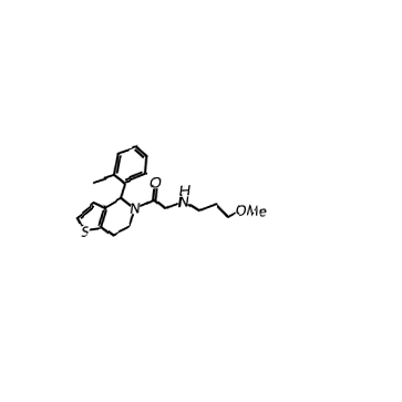 COCCCNCC(=O)N1CCc2sccc2C1c1ccccc1C